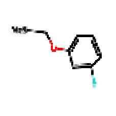 CSCOc1cc[c]c(F)c1